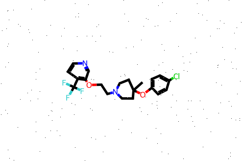 CC1(Oc2ccc(Cl)cc2)CCN(CCOc2cnccc2C(F)(F)F)CC1